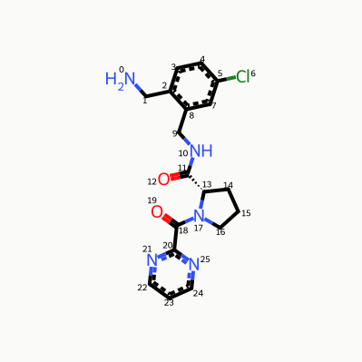 NCc1ccc(Cl)cc1CNC(=O)[C@@H]1CCCN1C(=O)c1ncccn1